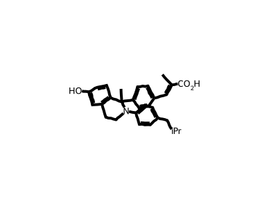 CC(=Cc1ccc(C2(C)c3ccc(O)cc3CCN2c2ccc(CC(C)C)cc2)cc1)C(=O)O